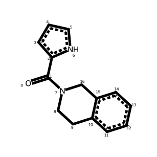 O=C(c1ccc[nH]1)N1CCc2c[c]ccc2C1